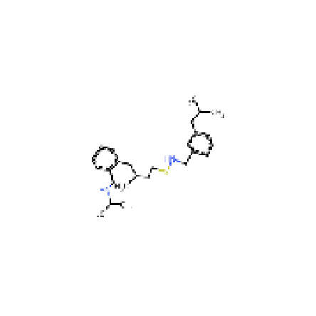 CC(C)Cc1cccc(CNSCCC(C)Cc2ccccc2CNC(C)C)c1